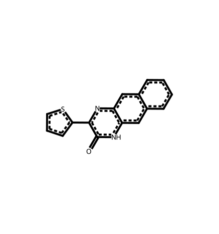 O=c1[nH]c2cc3ccccc3cc2nc1-c1cccs1